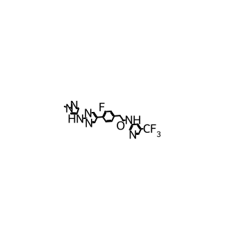 Cn1cc(Nc2ncc(-c3ccc(CC(=O)Nc4cncc(C(F)(F)F)c4)cc3F)cn2)cn1